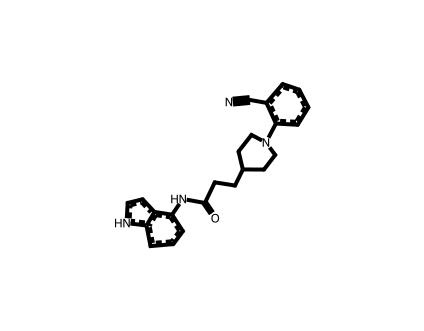 N#Cc1ccccc1N1CCC(CCC(=O)Nc2cccc3[nH]ccc23)CC1